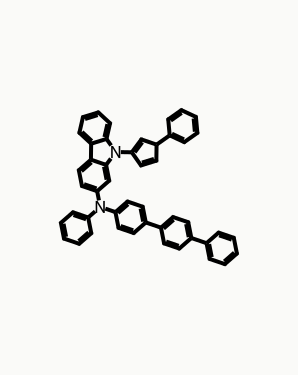 C1=CC(c2ccccc2)C=C1n1c2ccccc2c2ccc(N(c3ccccc3)c3ccc(-c4ccc(-c5ccccc5)cc4)cc3)cc21